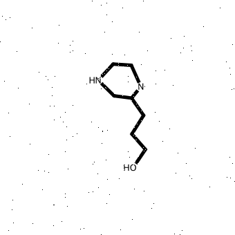 OCCCC1CNCC[N]1